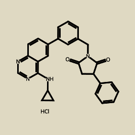 Cl.O=C1CC(c2ccccc2)C(=O)N1Cc1cccc(-c2ccc3ncnc(NC4CC4)c3c2)c1